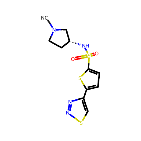 N#CN1CC[C@@H](NS(=O)(=O)c2ccc(-c3csnn3)s2)C1